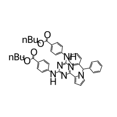 CCCCOC(=O)c1ccc(Nc2nc(Nc3ccc(C(=O)OCCCC)cc3)nc(-c3cccn3C(c3ccccc3)c3ccccc3)n2)cc1